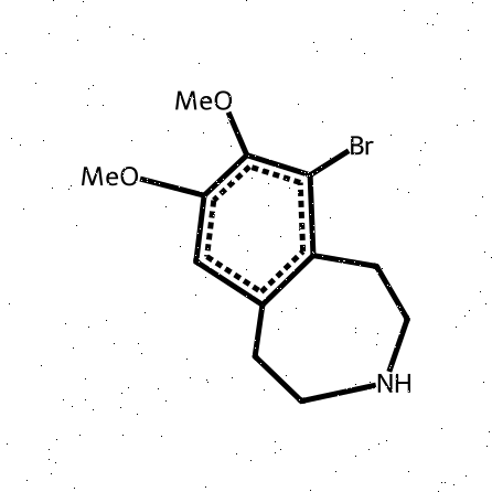 COc1cc2c(c(Br)c1OC)CCNCC2